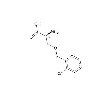 N[C@@H](COCc1ccccc1Cl)C(=O)O